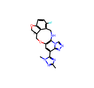 Cc1nc(-c2cc3c(n4cnnc24)NCc2c(F)ccc4c2[C@@H](CO4)CO3)n(C)n1